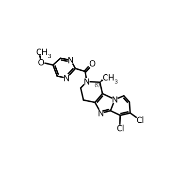 COc1cnc(C(=O)N2CCc3nc4c(Cl)c(Cl)ccn4c3[C@@H]2C)nc1